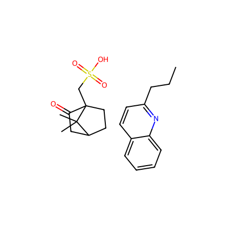 CC1(C)C2CCC1(CS(=O)(=O)O)C(=O)C2.CCCc1ccc2ccccc2n1